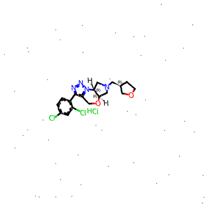 Cl.Clc1ccc(-c2nnn3c2CO[C@@H]2CN(C[C@H]4CCOC4)C[C@H]23)c(Cl)c1